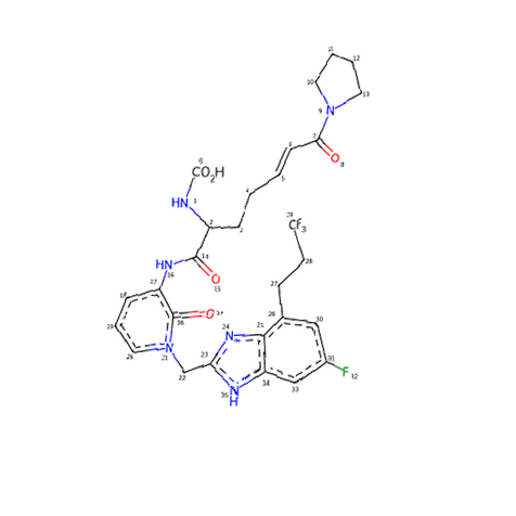 O=C(O)NC(CCC=CC(=O)N1CCCC1)C(=O)Nc1cccn(Cc2nc3c(CCC(F)(F)F)cc(F)cc3[nH]2)c1=O